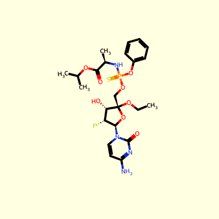 CCO[C@]1(COP(=S)(N[C@H](C)C(=O)OC(C)C)Oc2ccccc2)O[C@@H](n2ccc(N)nc2=O)[C@H](F)[C@@H]1O